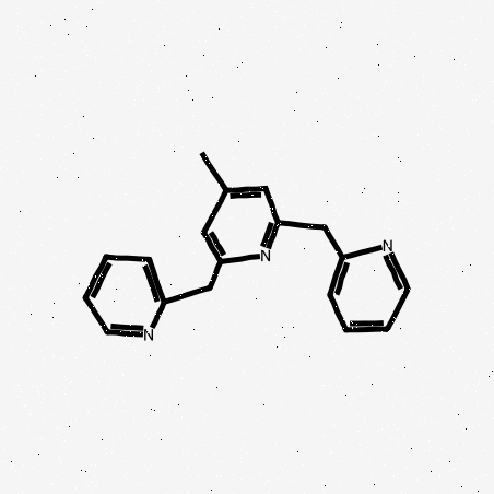 Cc1cc(Cc2ccccn2)nc(Cc2ccccn2)c1